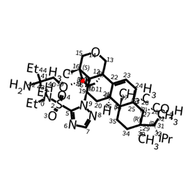 CCNS(=O)(=O)c1ncnn1[C@@H]1C[C@@]23COC[C@](C)([C@@H]2CC[C@H]2C3=CC[C@@]3(C)[C@H](C(=O)O)[C@@](C)([C@H](C)C(C)C)CC[C@]23C)[C@H]1OCC(N)(CC)CC